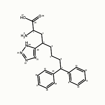 NC(CC(CCCC(c1ccccc1)c1ccccc1)c1nnn[nH]1)C(=O)O